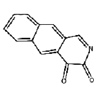 O=C1N=Cc2cc3ccccc3cc2C1=O